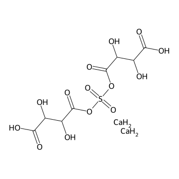 O=C(O)C(O)C(O)C(=O)OS(=O)(=O)OC(=O)C(O)C(O)C(=O)O.[CaH2].[CaH2]